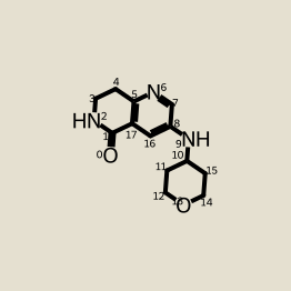 O=C1NCCc2ncc(NC3CCOCC3)cc21